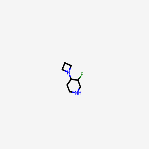 FC1CNCCC1N1CCC1